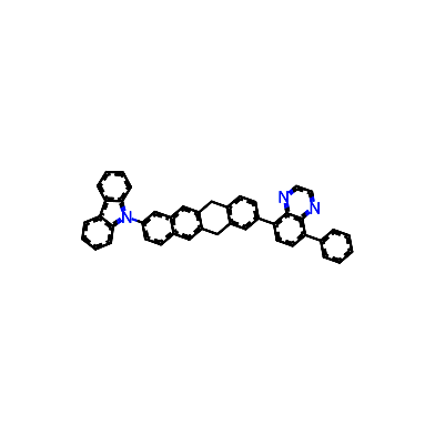 c1ccc(-c2ccc(-c3ccc4c(c3)Cc3cc5ccc(-n6c7ccccc7c7ccccc76)cc5cc3C4)c3nccnc23)cc1